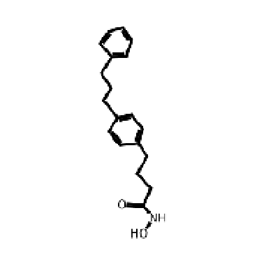 O=C(CCCc1ccc(CCCc2ccccc2)cc1)NO